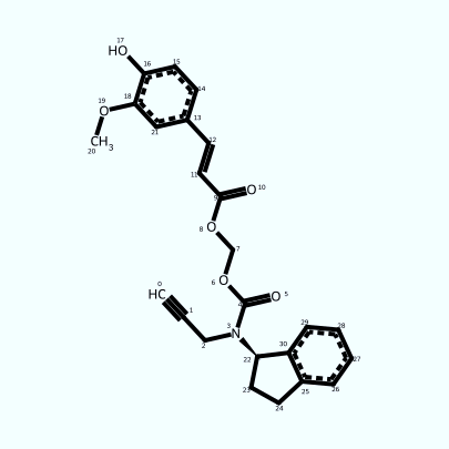 C#CCN(C(=O)OCOC(=O)/C=C/c1ccc(O)c(OC)c1)[C@@H]1CCc2ccccc21